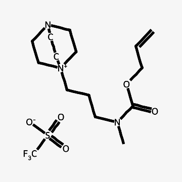 C=CCOC(=O)N(C)CCC[N+]12CCN(CC1)CC2.O=S(=O)([O-])C(F)(F)F